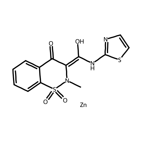 CN1C(=C(O)Nc2nccs2)C(=O)c2ccccc2S1(=O)=O.[Zn]